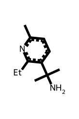 CCc1nc(C)ccc1C(C)(C)N